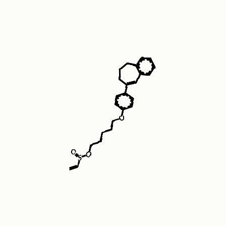 C=CS(=O)OCCCCCOc1ccc(C2=Cc3ccccc3CCC2)cc1